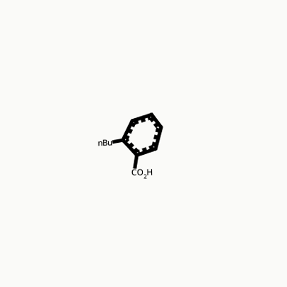 [CH2]CCCc1ccccc1C(=O)O